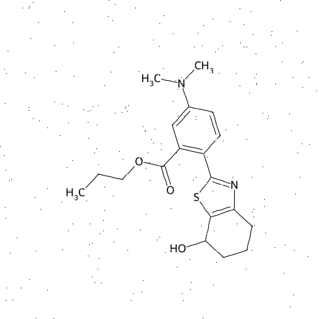 CCCOC(=O)c1cc(N(C)C)ccc1-c1nc2c(s1)C(O)CCC2